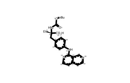 CCCCOC(=O)N[C@@](CC)(Cc1ccc(Nc2nccc3ccncc23)cc1)C(=O)O